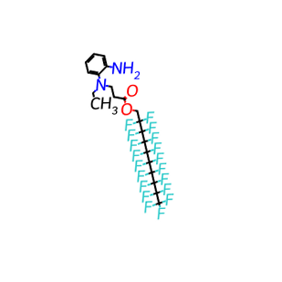 CCN(CCC(=O)OCC(F)(F)C(F)(F)C(F)(F)C(F)(F)C(F)(F)C(F)(F)C(F)(F)C(F)(F)C(F)(F)F)c1ccccc1N